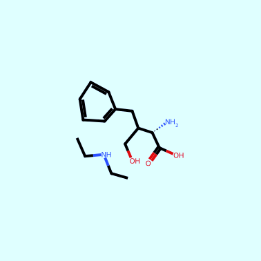 CCNCC.N[C@H](C(=O)O)C(CO)Cc1ccccc1